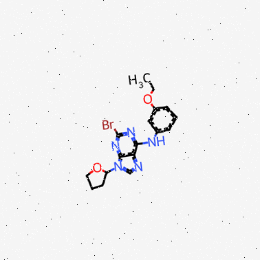 CCOc1cccc(Nc2nc(Br)nc3c2ncn3C2CCCO2)c1